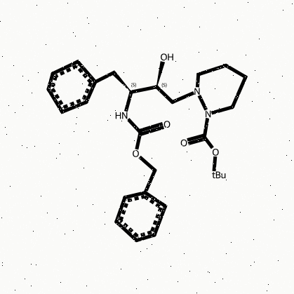 CC(C)(C)OC(=O)N1CCCCN1C[C@H](O)[C@H](Cc1ccccc1)NC(=O)OCc1ccccc1